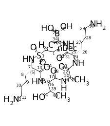 CCCCCCCCCCCCS(=O)(=O)N[C@@H](CCCCN)C(=O)N[C@H](C(=O)N[C@@H](C)C(=O)N[C@@H](CCCCN)C(=O)N[C@@H](C)B(O)O)C(C)O